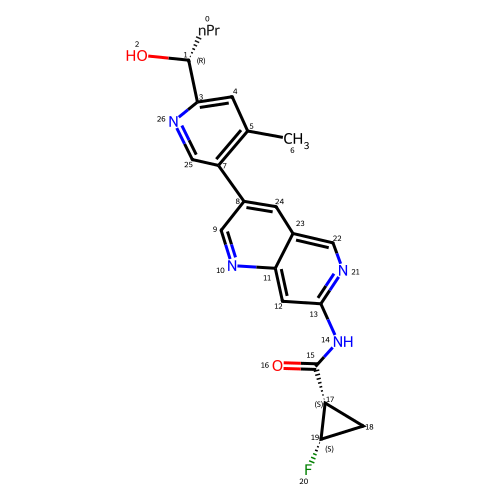 CCC[C@@H](O)c1cc(C)c(-c2cnc3cc(NC(=O)[C@@H]4C[C@@H]4F)ncc3c2)cn1